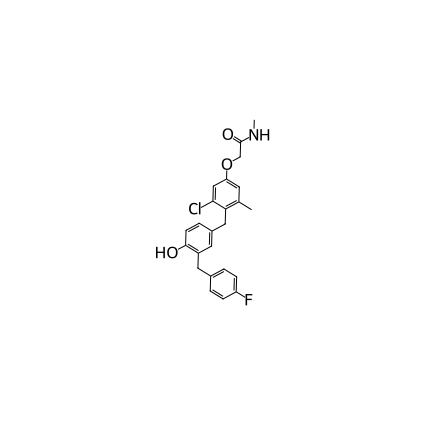 CNC(=O)COc1cc(C)c(Cc2ccc(O)c(Cc3ccc(F)cc3)c2)c(Cl)c1